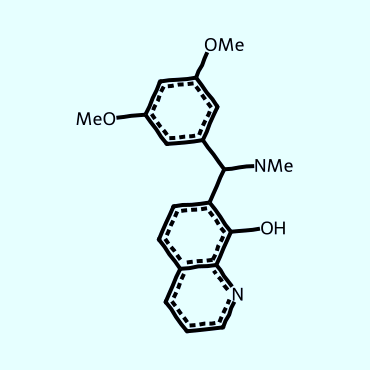 CNC(c1cc(OC)cc(OC)c1)c1ccc2cccnc2c1O